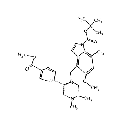 COC(=O)c1ccc([C@H]2CN(C)C(C)CN2Cc2c(OC)cc(C)c3c2ccn3C(=O)OC(C)(C)C)cc1